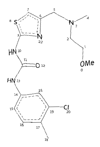 COCCN(C)Cc1csc(NC(=O)Nc2ccc(C)c(Cl)c2)n1